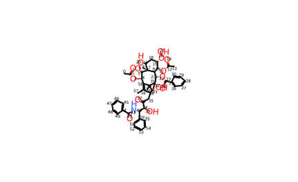 CC(=O)O[C@H]1C(=O)[C@@]2(C)C([C@@H](OC(C)=O)[C@H](OO)C[C@@H]2O)[C@H](OC(=O)c2ccccc2)[C@]2(O)CC(CC(=O)C(O)[C@@H](NC(=O)c3ccccc3)c3ccccc3)C(C)=C1C2(C)C